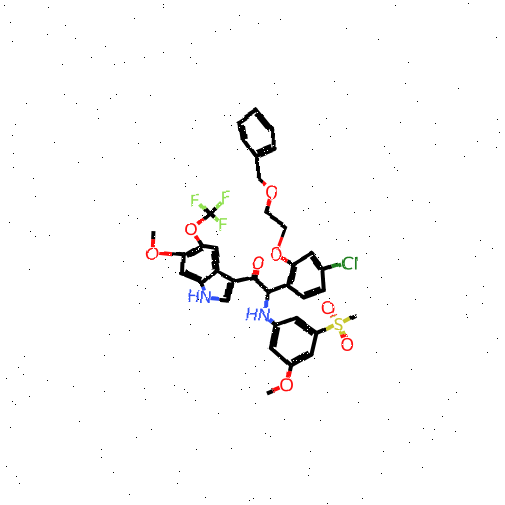 COc1cc(NC(C(=O)c2c[nH]c3cc(OC)c(OC(F)(F)F)cc23)c2ccc(Cl)cc2OCCOCc2ccccc2)cc(S(C)(=O)=O)c1